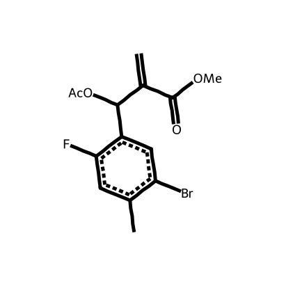 C=C(C(=O)OC)C(OC(C)=O)c1cc(Br)c(C)cc1F